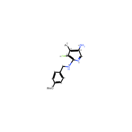 COc1ccc(CNc2ncc(N)c(C(C)=O)c2F)cc1